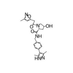 Cc1cc(CC(=O)N2CC(O)C[C@H]2C(=O)NCc2ccc(-c3c(C)n[nH]c3C)cc2)on1